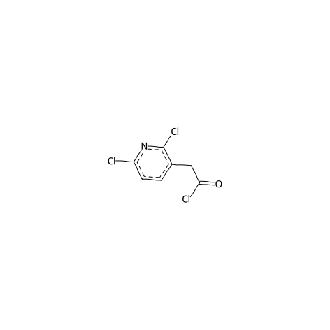 O=C(Cl)Cc1ccc(Cl)nc1Cl